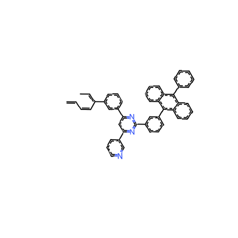 C=C/C=C\C(=C/C)c1cccc(-c2cc(-c3cccnc3)nc(-c3cccc(-c4c5ccccc5c(-c5ccccc5)c5ccccc45)c3)n2)c1